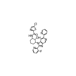 O=C(NC1CCCC(n2c(-c3ncccc3F)nc3cnc(-c4ccccn4)cc32)C1O)c1ncc(Cl)s1